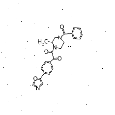 CC1CN(C(=O)c2ccccc2)CCN1C(=O)C(=O)c1ccc(-c2cnco2)cc1